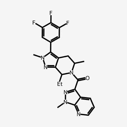 CCC1c2nn(C)c(-c3cc(F)c(F)c(F)c3)c2CC(C)N1C(=O)c1nn(C)c2ncccc12